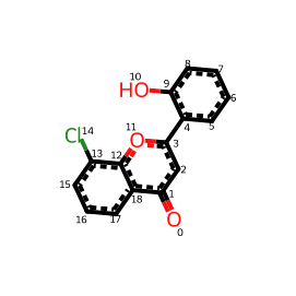 O=c1cc(-c2ccccc2O)oc2c(Cl)cccc12